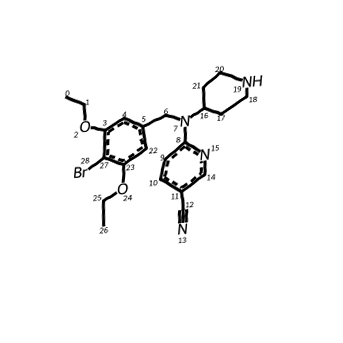 CCOc1cc(CN(c2ccc(C#N)cn2)C2CCNCC2)cc(OCC)c1Br